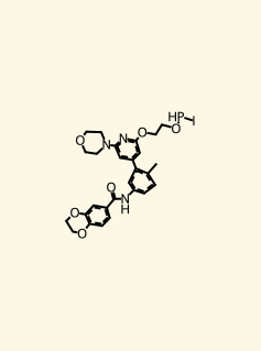 Cc1ccc(NC(=O)c2ccc3c(c2)OCCO3)cc1-c1cc(OCCOPI)nc(N2CCOCC2)c1